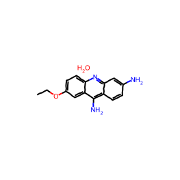 CCOc1ccc2nc3cc(N)ccc3c(N)c2c1.O